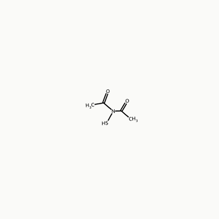 CC(=O)N(S)C(C)=O